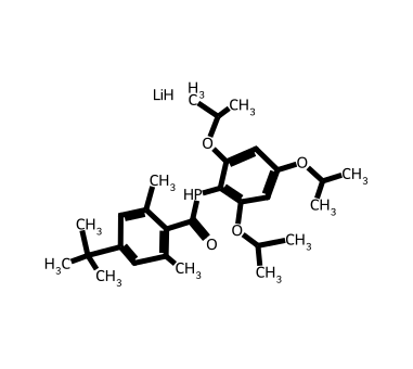 Cc1cc(C(C)(C)C)cc(C)c1C(=O)Pc1c(OC(C)C)cc(OC(C)C)cc1OC(C)C.[LiH]